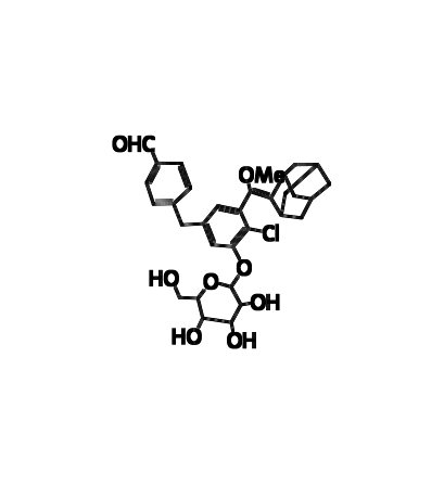 COC(=C1C2CC3CC(C2)CC1C3)c1cc(Cc2ccc(C=O)cc2)cc(OC2OC(CO)C(O)C(O)C2O)c1Cl